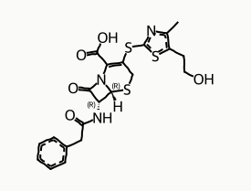 Cc1nc(SC2=C(C(=O)O)N3C(=O)[C@@H](NC(=O)Cc4ccccc4)[C@H]3SC2)sc1CCO